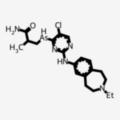 CCN1CCc2ccc(Nc3ncc(Cl)c([AsH]CC(C)C(N)=O)n3)cc2CC1